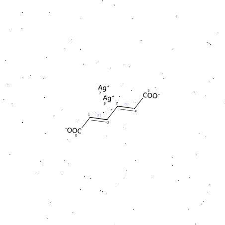 O=C([O-])/C=C/C=C/C(=O)[O-].[Ag+].[Ag+]